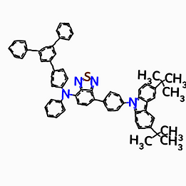 CC(C)(C)c1ccc2c(c1)c1cc(C(C)(C)C)ccc1n2-c1ccc(-c2ccc(N(c3ccccc3)c3ccc(-c4cc(-c5ccccc5)cc(-c5ccccc5)c4)cc3)c3nsnc23)cc1